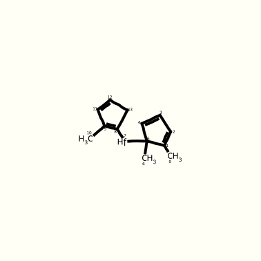 CC1=CC=C[C]1(C)[Hf][C]1=C(C)C=CC1